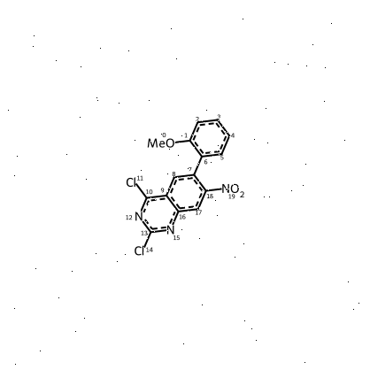 COc1ccccc1-c1cc2c(Cl)nc(Cl)nc2cc1[N+](=O)[O-]